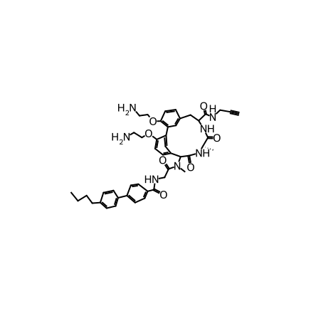 C#CCNC(=O)C1Cc2ccc(OCCN)c(c2)-c2cc(ccc2OCCN)C(N(C)C(=O)CNC(=O)c2ccc(-c3ccc(CCCC)cc3)cc2)C(=O)N[C@@H](C)C(=O)N1